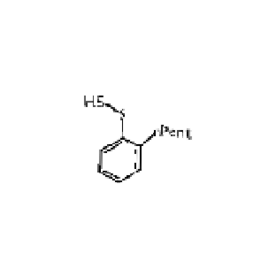 CCCCCc1ccccc1SS